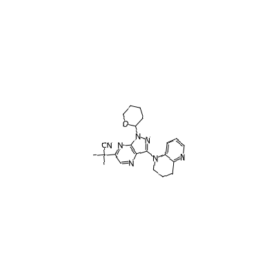 CC(C)(C#N)c1cnc2c(N3CCCc4ncccc43)nn(C3CCCCO3)c2n1